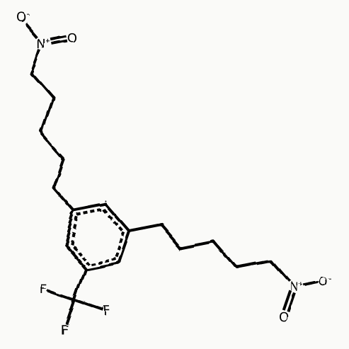 O=[N+]([O-])CCCCCc1[c]c(CCCCC[N+](=O)[O-])cc(C(F)(F)F)c1